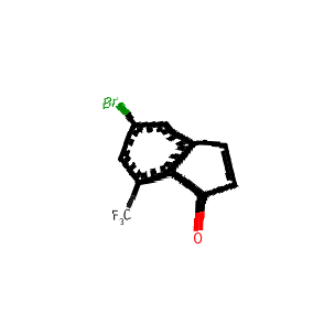 O=C1C=Cc2cc(Br)cc(C(F)(F)F)c21